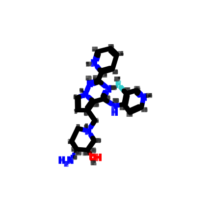 N[C@@H]1CCN(Cc2ccn3nc(-c4ccccn4)nc(Nc4ccncc4F)c23)C[C@H]1O